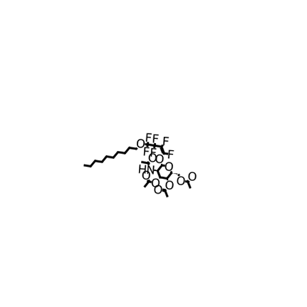 CCCCCCCCCCOC(F)(F)C(F)(F)/C(F)=C(/F)O[C@@H]1O[C@H](COC(C)=O)[C@@H](OC(C)=O)[C@H](OC(C)=O)[C@H]1NC(C)=O